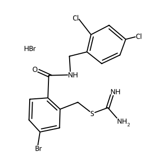 Br.N=C(N)SCc1cc(Br)ccc1C(=O)NCc1ccc(Cl)cc1Cl